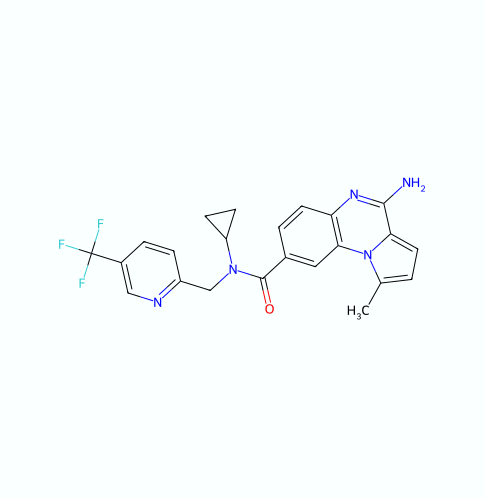 Cc1ccc2c(N)nc3ccc(C(=O)N(Cc4ccc(C(F)(F)F)cn4)C4CC4)cc3n12